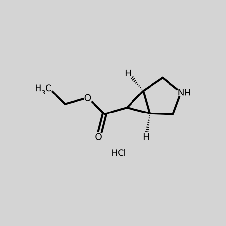 CCOC(=O)C1[C@H]2CNC[C@@H]12.Cl